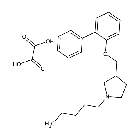 CCCCCN1CCC(COc2ccccc2-c2ccccc2)C1.O=C(O)C(=O)O